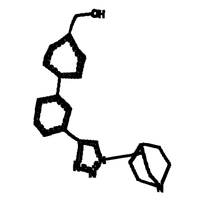 OCc1ccc(-c2cccc(-c3cn(C4CN5CCC4CC5)nn3)c2)cc1